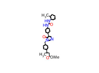 COC(=O)C[C@@H](C)c1ccc(Cn2cncc(-c3ccc(NC(=O)Nc4ccccc4C)cc3)c2=O)cc1